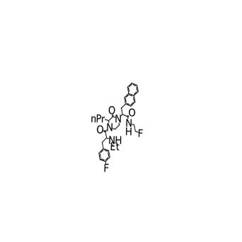 CCCC1C(=O)N(C(Cc2ccc3ccccc3c2)C(=O)NCCF)CCN1C(=O)C(Cc1ccc(F)cc1)NCC